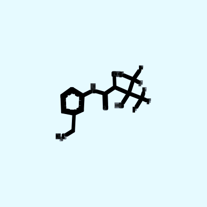 CCc1cccc(NC(=O)C(O)C(O)(C(F)(F)F)C(F)(F)F)c1